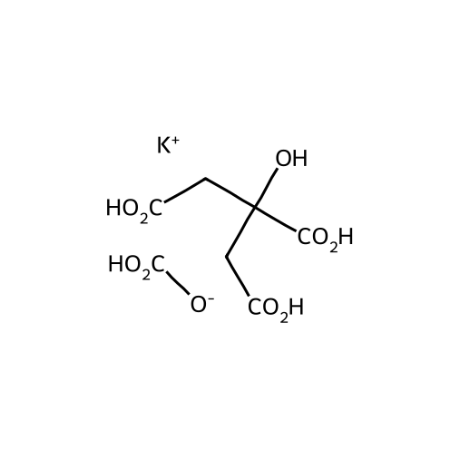 O=C(O)CC(O)(CC(=O)O)C(=O)O.O=C([O-])O.[K+]